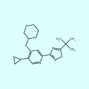 CC(C)(C)c1nc(-c2cc(OC3CCCOC3)c(C3CC3)cn2)no1